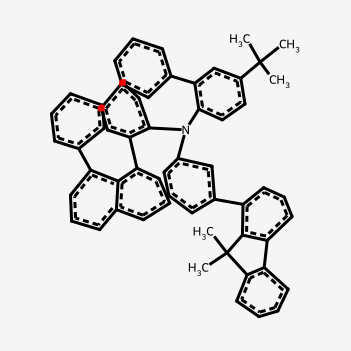 CC(C)(C)c1ccc(N(c2cccc(-c3cccc4c3C(C)(C)c3ccccc3-4)c2)c2ccccc2-c2cccc3cccc(-c4ccccc4)c23)c(-c2ccccc2)c1